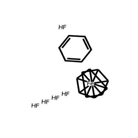 F.F.F.F.F.[CH]12[CH]3[CH]4[CH]5[CH]1[Fe]23451678[CH]2[CH]1[CH]6[CH]7[CH]28.c1ccccc1